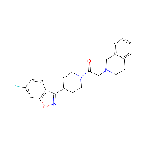 O=C(CN1CCc2ccccc2C1)N1CCC(c2noc3cc(F)ccc23)CC1